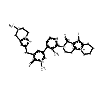 Cc1c(-c2cc(Nc3cc4n(n3)CCN(C)C4)c(=O)n(C)c2)ccnc1N1CCc2c(c(F)c3n2CCCC3)C1=O